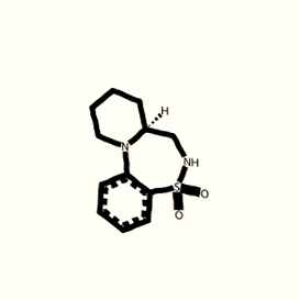 O=S1(=O)NC[C@@H]2CCCCN2c2ccccc21